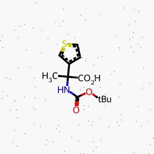 CC(C)(C)OC(=O)NC(C)(C(=O)O)c1ccsc1